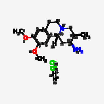 COc1cc2c(cc1OC)[C@H]1C[C@H](N)[C@H](C)CN1CC2.[Cl-].[Cl-].[H+].[H+]